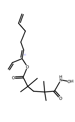 C=CCC/C=C(\C=C)OC(=O)C(C)(C)CC(C)(C)C(=O)NO